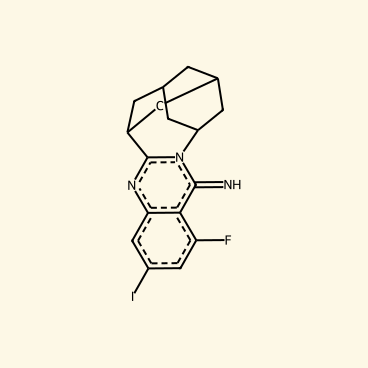 N=c1c2c(F)cc(I)cc2nc2n1C1CC3CC(CC2C3)C1